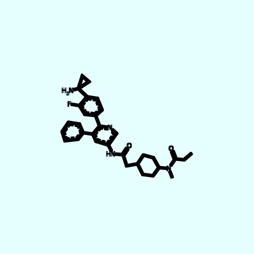 CCC(=O)N(C)C1CCC(CC(=O)Nc2cnc(-c3ccc(C4(N)CC4)c(F)c3)c(-c3ccccc3)c2)CC1